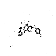 COC(Cn1cncc1F)c1cnc(Oc2ccc(Cl)cc2)cc1C(C)(F)F